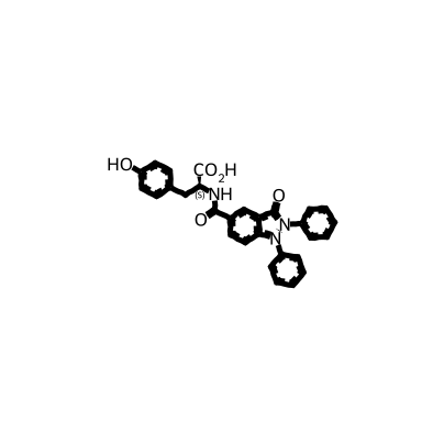 O=C(N[C@@H](Cc1ccc(O)cc1)C(=O)O)c1ccc2c(c1)c(=O)n(-c1ccccc1)n2-c1ccccc1